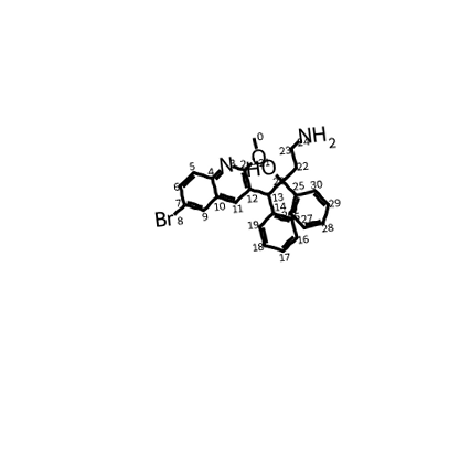 COc1nc2ccc(Br)cc2cc1C(c1ccccc1)C(O)(CCN)c1ccccc1